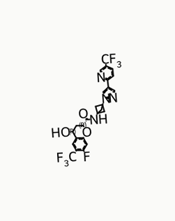 O=C(NC12CC(n3cc(-c4ccc(C(F)(F)F)cn4)cn3)(C1)C2)[C@H]1C[C@@H](O)c2cc(C(F)(F)F)c(F)cc2O1